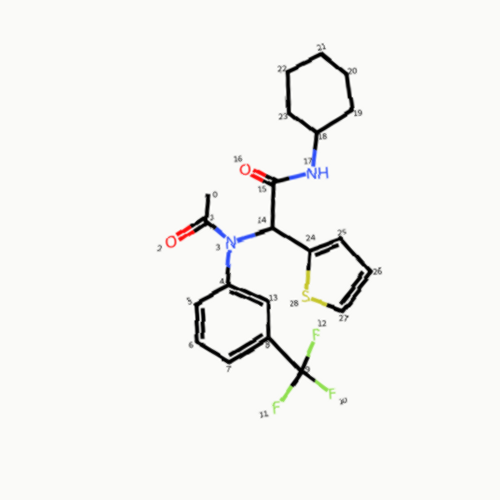 CC(=O)N(c1cccc(C(F)(F)F)c1)C(C(=O)NC1CCCCC1)c1cccs1